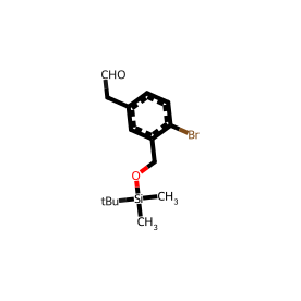 CC(C)(C)[Si](C)(C)OCc1cc(CC=O)ccc1Br